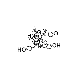 CC[C@H](C)[C@H](OC(=O)[C@@H](Cc1ccc(OC)cc1)N(C)C)C(=O)N[C@H](C(=O)N(C)[C@H](Cc1ccc(O)cc1)C(=O)N(C)[C@H](Cc1ccc(O)cc1)C(=O)OC)C(C)C